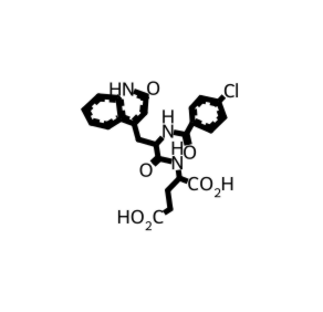 O=C(O)CCC(NC(=O)C(Cc1cc(=O)[nH]c2ccccc12)NC(=O)c1ccc(Cl)cc1)C(=O)O